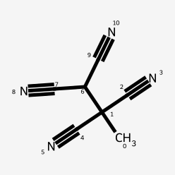 CC(C#N)(C#N)C(C#N)C#N